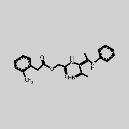 CC(=N)/C(NC(=O)COC(=O)Cc1ccccc1C(F)(F)F)=C(/C)Nc1ccccc1